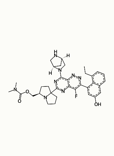 CCc1cccc2cc(O)cc(-c3nnc4c(N5C[C@H]6C[C@@H]5CN6)nc(C56CCCN5[C@@H](COC(=O)N(C)C)CC6)nc4c3F)c12